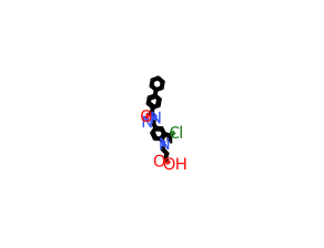 O=C(O)CCn1cc(Cl)c2cc(-c3noc(-c4ccc(C5CCCCC5)cc4)n3)ccc21